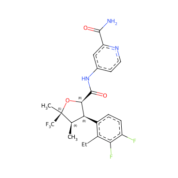 CCc1c([C@H]2[C@@H](C)[C@@](C)(C(F)(F)F)O[C@H]2C(=O)Nc2ccnc(C(N)=O)c2)ccc(F)c1F